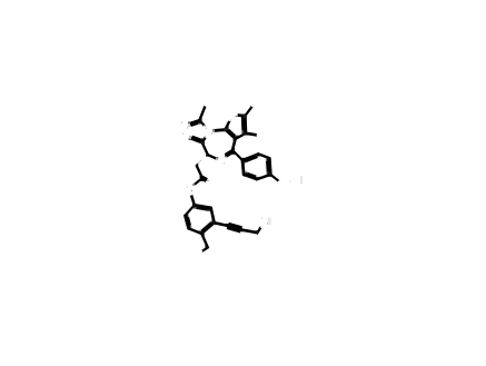 Cc1sc2c(c1C)C(c1ccc(Cl)cc1)=N[C@@H](CC(=O)Nc1ccc(CO)c(C#CCN)c1)c1nnc(C)n1-2.Cl